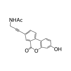 CC(=O)NCC#Cc1ccc2c(c1)c(=O)oc1cc(O)ccc12